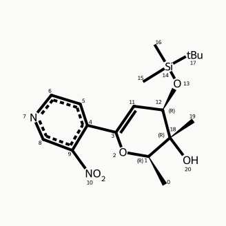 C[C@H]1OC(c2ccncc2[N+](=O)[O-])=C[C@@H](O[Si](C)(C)C(C)(C)C)[C@]1(C)O